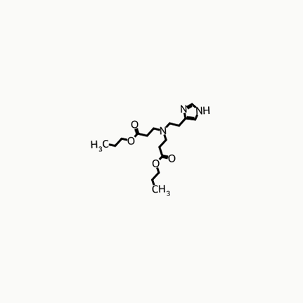 CCCOC(=O)CCN(CCC(=O)OCCC)CCc1c[nH]cn1